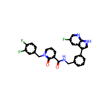 O=C(NCc1cccc(-c2c[nH]c3ncc(F)cc23)c1)c1cccn(Cc2ccc(F)c(F)c2)c1=O